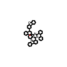 c1ccc(-c2ccccc2-c2nc(-c3cc(-c4ccc5oc6ccccc6c5c4)c4ccccc4c3)nc(-c3cccc4c5ccccc5n(-c5ccccc5)c34)n2)cc1